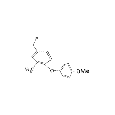 COc1ccc(Oc2ccc(CF)cc2C)cc1